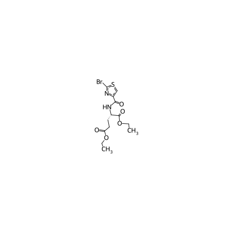 CCOC(=O)CC[C@H](NC(=O)c1csc(Br)n1)C(=O)OCC